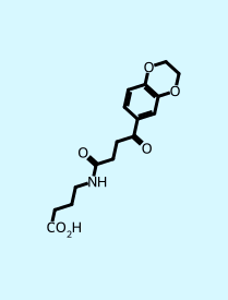 O=C(O)CCCNC(=O)CCC(=O)c1ccc2c(c1)OCCO2